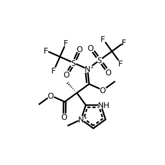 COC(=O)[C@@](C)(C(OC)=[N+](S(=O)(=O)C(F)(F)F)S(=O)(=O)C(F)(F)F)c1[nH]cc[n+]1C